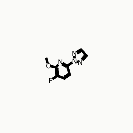 COc1nc(-n2nccn2)ccc1F